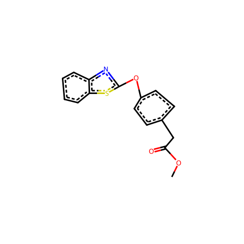 COC(=O)Cc1ccc(Oc2nc3ccccc3s2)cc1